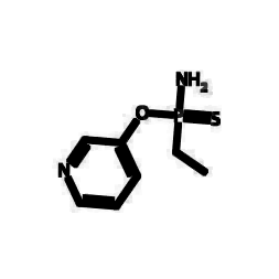 CCP(N)(=S)Oc1cccnc1